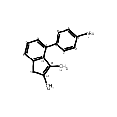 CCCCc1ccc(-c2cccc3c2C(C)=C(C)[CH]3)cc1